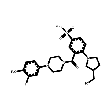 CNS(=O)(=O)c1ccc(N2CCC(CO)C2)c(C(=O)N2CCN(c3ccc(C(F)(F)F)c(F)c3)CC2)c1